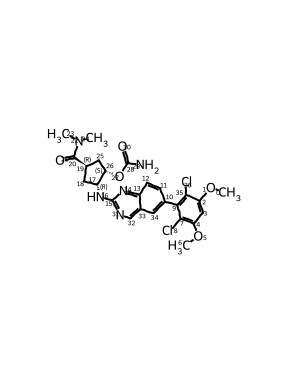 COc1cc(OC)c(Cl)c(-c2ccc3nc(N[C@@H]4C[C@@H](C(=O)N(C)C)C[C@@H]4OC(N)=O)ncc3c2)c1Cl